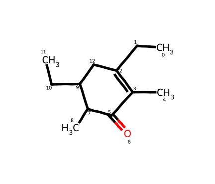 CCC1=C(C)C(=O)C(C)C(CC)C1